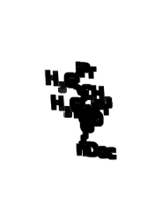 CCCCCCCCCCCCCCCCOC[C@H](OCCC(C)CCCC(C)CCCC(C)CCCC(C)C)C(=O)NCC(C)C